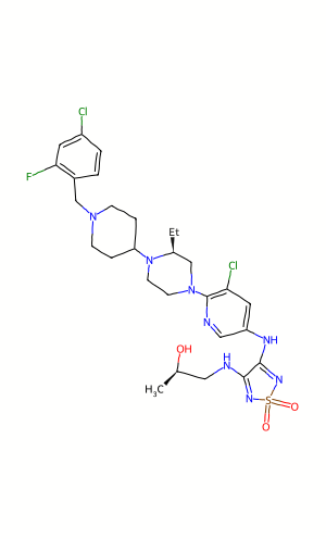 CC[C@H]1CN(c2ncc(NC3=NS(=O)(=O)N=C3NC[C@@H](C)O)cc2Cl)CCN1C1CCN(Cc2ccc(Cl)cc2F)CC1